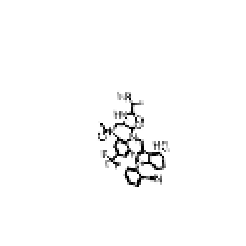 CN[C@@H](C)C(=O)N[C@H]1CN(C(C)=O)c2cc(C(F)(F)F)ccc2N(Cc2nn(-c3ccccc3C#N)c3ccccc23)C1=O.Cl